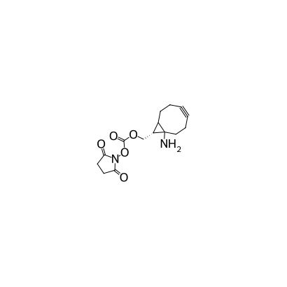 NC12CCC#CCCC1[C@H]2COC(=O)ON1C(=O)CCC1=O